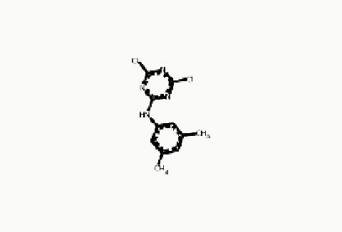 Cc1cc(C)cc(Nc2nc(Cl)nc(Cl)n2)c1